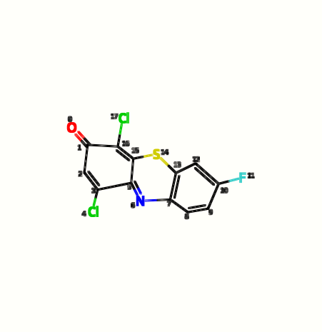 O=c1cc(Cl)c2nc3ccc(F)cc3sc-2c1Cl